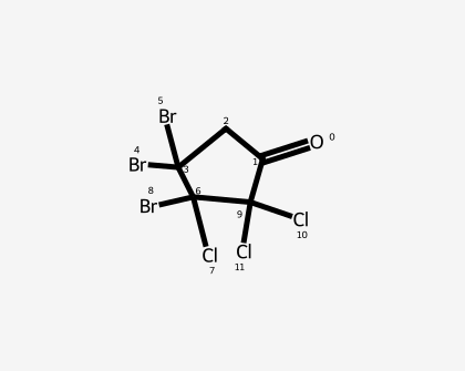 O=C1CC(Br)(Br)C(Cl)(Br)C1(Cl)Cl